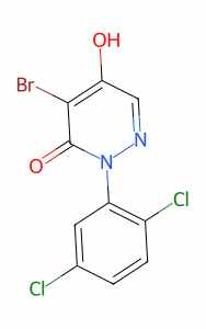 O=c1c(Br)c(O)cnn1-c1cc(Cl)ccc1Cl